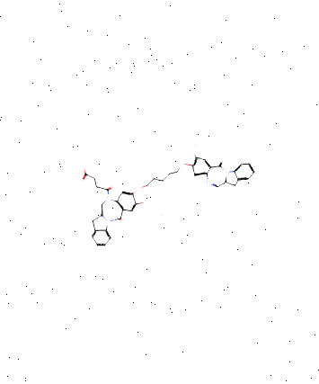 C=C1c2cc(OC)c(OCCCCCOc3cc4c(cc3OC)C(=O)N3c5ccccc5C[C@H]3CN4C(=O)CCC(=O)OC)cc2N=C[C@@H]2Cc3ccccc3N12